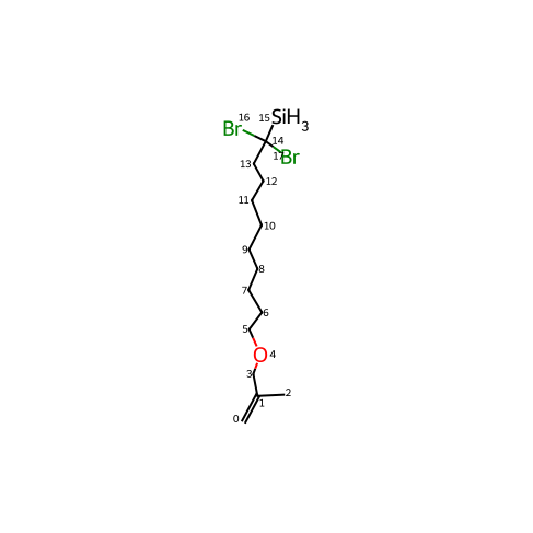 C=C(C)COCCCCCCCCCC([SiH3])(Br)Br